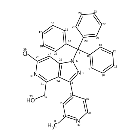 Cc1cc(-c2nn(C(c3ccccc3)(c3ccccc3)c3ccccc3)c3cc(Cl)nc(CO)c23)ccn1